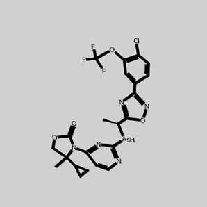 C[C@H]([AsH]c1nccc(N2C(=O)OCC2(C)C2CC2)n1)c1nc(-c2ccc(Cl)c(OC(F)(F)F)c2)no1